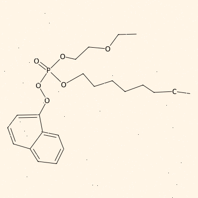 CCCCCCCCOP(=O)(OCCOCC)OOc1cccc2ccccc12